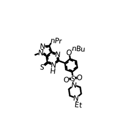 CCCCOc1ccc(S(=O)(=O)N2CCN(CC)CC2)cc1-c1nc2c(CCC)nn(C)c2c(=S)[nH]1